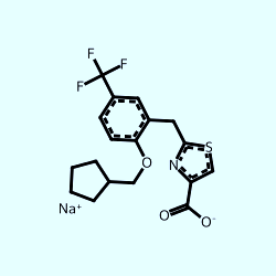 O=C([O-])c1csc(Cc2cc(C(F)(F)F)ccc2OCC2CCCC2)n1.[Na+]